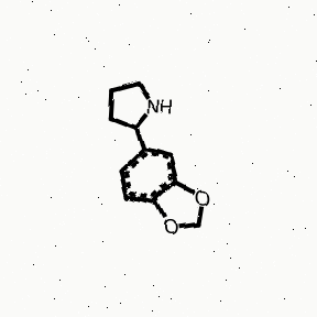 c1cc2c(cc1C1CCCN1)OCO2